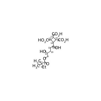 CCC(C)(C)C(=O)OCC(O)CC[C@@H](O)C1C(C(=O)O)C(C(=O)O)C1C(=O)O